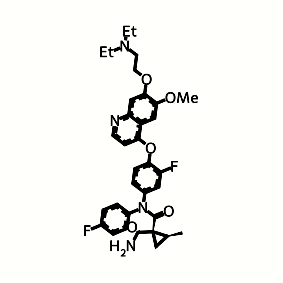 CCN(CC)CCOc1cc2nccc(Oc3ccc(N(C(=O)[C@]4(C(N)=O)C[C@@H]4C)c4ccc(F)cc4)cc3F)c2cc1OC